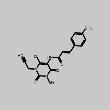 C#CCn1c(Cl)c(NC(=O)C=Cc2ccc(C)cc2)c(=O)n(CCC)c1=O